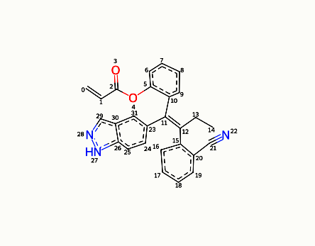 C=CC(=O)Oc1ccccc1/C(=C(\CC)c1ccccc1C#N)c1ccc2[nH]ncc2c1